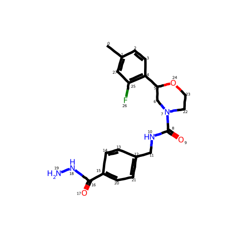 Cc1ccc(C2CN(C(=O)NCc3ccc(C(=O)NN)cc3)CCO2)c(F)c1